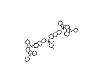 Cc1cc(C)c(B(c2ccc3cc4cc(-n5c6ccccc6c6ccc7c(c8ccccc8n7-c7ccccc7)c65)ccc4cc3c2)c2ccc3cc4cc(-n5c6ccccc6c6ccc7c(c8ccccc8n7-c7ccccc7)c65)ccc4cc3c2)c(C)c1